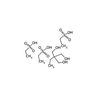 CCC(CO)(CO)CO.CCS(=O)(=O)O.CCS(=O)(=O)O.CCS(=O)(=O)O